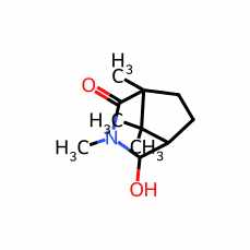 CN1C(=O)C2(C)CCC(C1O)C2(C)C